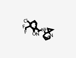 FC(F)c1c(Cl)ccc2c(NC3C4CCN(CC4)C34CC4)noc12